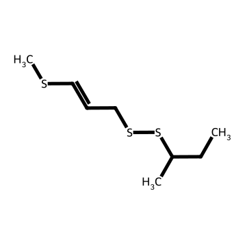 CCC(C)SSCC=CSC